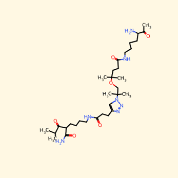 CC(=O)C(N)CCCCNC(=O)CCC(C)(C)OCC(C)(C)n1cc(CCC(=O)NCCCCC(C(N)=O)C(=O)C(C)C)nn1